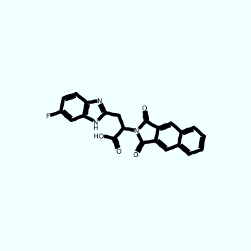 O=C(O)C(Cc1nc2ccc(F)cc2[nH]1)N1C(=O)c2cc3ccccc3cc2C1=O